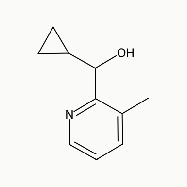 Cc1cccnc1C(O)C1CC1